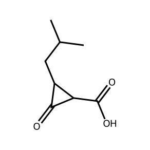 CC(C)CC1C(=O)C1C(=O)O